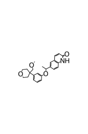 COCC1(c2cccc(OC(C)c3ccc4[nH]c(=O)ccc4c3)c2)CCOCC1